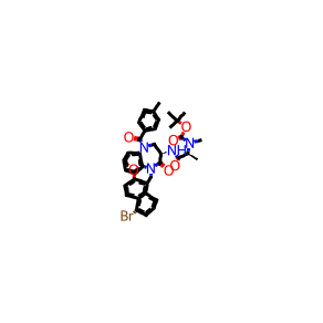 COc1ccc2c(Br)cccc2c1CN1C(=O)[C@@H](NC(=O)[C@H](C)N(C)C(=O)OC(C)(C)C)CN(C(=O)c2ccc(C)cc2)c2ccccc21